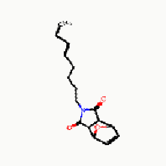 CCCCCCCCN1C(=O)C2C3C=CC(O3)C2C1=O